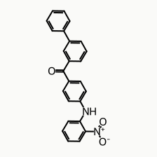 O=C(c1ccc(Nc2ccccc2[N+](=O)[O-])cc1)c1cccc(-c2ccccc2)c1